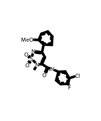 COc1ccccc1C1=NS(=O)(=O)N(C)C(C(=O)Nc2ccc(F)c(Cl)c2)=C1